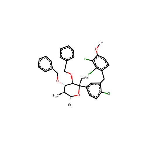 CCOc1ccc(Cc2cc([C@]3(OC)O[C@H](CC)[C@@H](C)[C@H](OCc4ccccc4)[C@H]3OCc3ccccc3)ccc2Cl)c(F)c1F